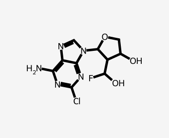 Nc1nc(Cl)nc2c1ncn2C1OCC(O)C1C(O)F